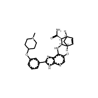 CN1CCC(Oc2cccc(-c3nc4c(N[C@H]5[C@@H](C(N)=O)[C@@H]6C=C[C@H]5C6)c(Cl)cnc4[nH]3)c2)CC1